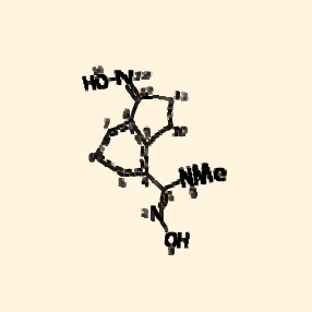 CN/C(=N\O)c1cccc2c1CC/C2=N/O